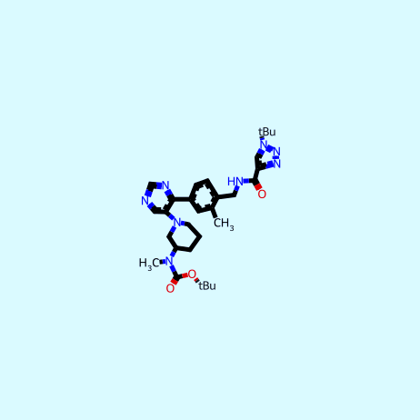 Cc1cc(-c2ncncc2N2CCCC(N(C)C(=O)OC(C)(C)C)C2)ccc1CNC(=O)c1cn(C(C)(C)C)nn1